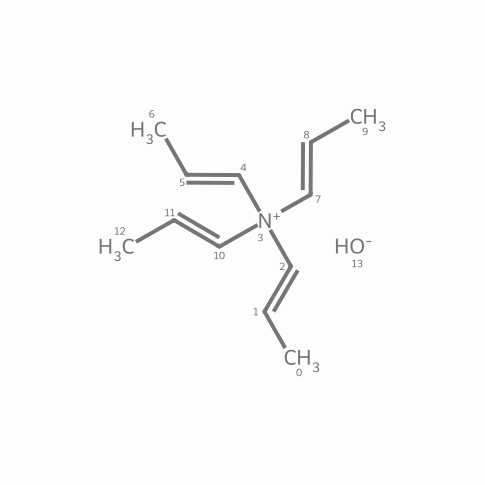 CC=C[N+](C=CC)(C=CC)C=CC.[OH-]